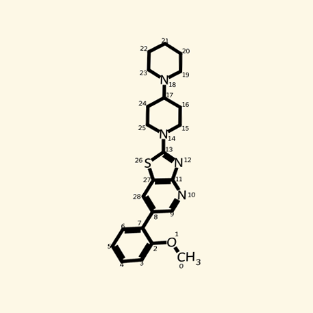 COc1ccccc1-c1cnc2nc(N3CCC(N4CCCCC4)CC3)sc2c1